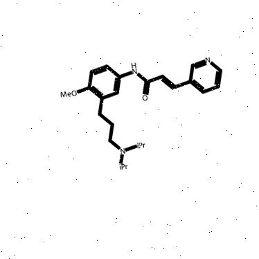 COc1ccc(NC(=O)C=Cc2cccnc2)cc1CCCN(C(C)C)C(C)C